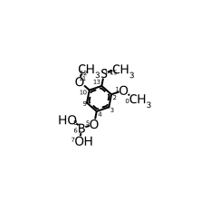 COc1cc(OB(O)O)cc(OC)c1SC